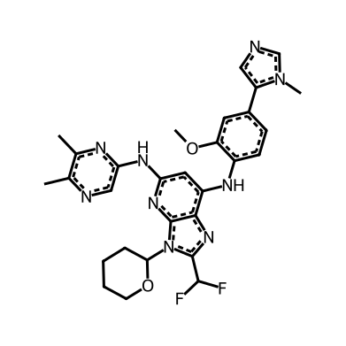 COc1cc(-c2cncn2C)ccc1Nc1cc(Nc2cnc(C)c(C)n2)nc2c1nc(C(F)F)n2C1CCCCO1